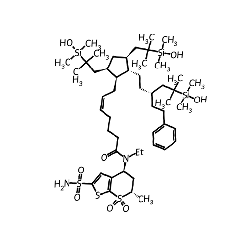 CCN(C(=O)CCC/C=C\C[C@H]1[C@@H](CC(C)(C)[Si](C)(C)O)C[C@@H](CC(C)(C)[Si](C)(C)O)[C@@H]1CC[C@@H](CCc1ccccc1)CC(C)(C)[Si](C)(C)O)[C@H]1C[C@H](C)S(=O)(=O)c2sc(S(N)(=O)=O)cc21